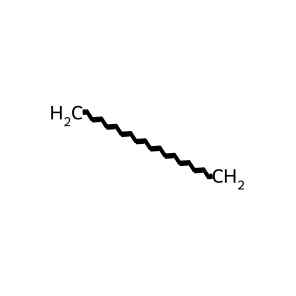 C=CC=CC=CC=CC=CC=CC=CC=CC=CC=C